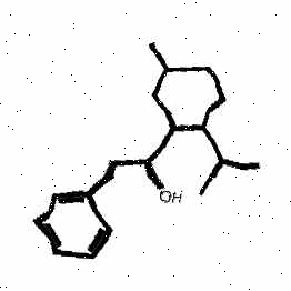 CC1CCC(C(C)C)C(C(O)Cc2ccccc2)C1